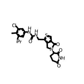 Cc1c(Cl)cc(NC(=O)NCc2scc3c2CN(C2CCC(=O)NC2=O)C3=O)cc1C(C)C